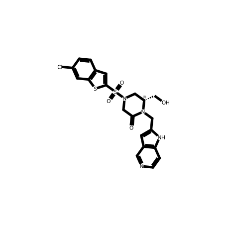 O=C1CN(S(=O)(=O)c2cc3ccc(Cl)cc3s2)C[C@H](CO)N1Cc1cc2cnccc2[nH]1